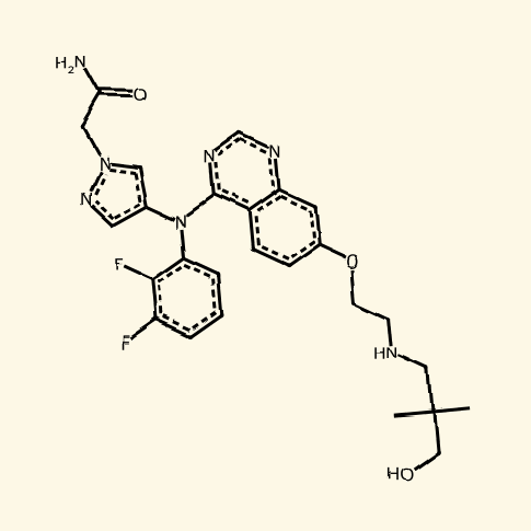 CC(C)(CO)CNCCOc1ccc2c(N(c3cnn(CC(N)=O)c3)c3cccc(F)c3F)ncnc2c1